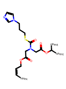 CCCCCC/C=C\COC(=O)CN(CC(=O)OC(CCCCC)CCCCC)C(=O)SCCCn1ccnc1